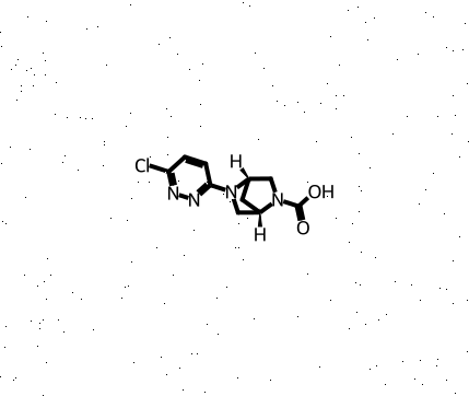 O=C(O)N1C[C@@H]2C[C@H]1CN2c1ccc(Cl)nn1